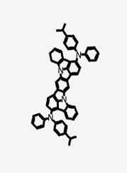 CC(C)c1ccc(N(c2ccccc2)c2ccc3c4cc5c(cc4n4c6c(c2c34)C=CCC6)c2ccc(N(c3ccccc3)c3ccc(C(C)C)cc3)c3c4ccccc4n5c23)cc1